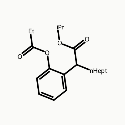 CCCCCCCC(C(=O)OC(C)C)c1ccccc1OC(=O)CC